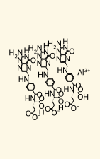 Nc1nc2ncc(CNc3ccc(C(=O)N[C@@H](CCC(=O)[O-])C(=O)O)cc3)nc2c(=O)[nH]1.Nc1nc2ncc(CNc3ccc(C(=O)N[C@@H](CCC(=O)[O-])C(=O)O)cc3)nc2c(=O)[nH]1.Nc1nc2ncc(CNc3ccc(C(=O)N[C@@H](CCC(=O)[O-])C(=O)O)cc3)nc2c(=O)[nH]1.[Al+3]